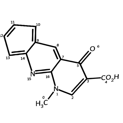 Cn1cc(C(=O)O)c(=O)c2cc3ccccc3nc21